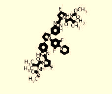 COC(=O)N[C@H](C(=O)N1C[C@H](F)CC1c1nc2cc([C@H]3CC[C@H](c4ccc5[nH]c(C6C[C@@H](F)CN6C(=O)[C@@H](NC(=O)OC)C(C)C)nc5c4)N3c3cc(F)c(N4CCCCC4)c(F)c3)ccc2[nH]1)C(C)C